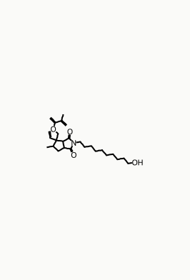 C=CC1(COC(=C)C(=C)C)C(C)CC2C(=O)N(CCCCCCCCCCO)C(=O)C21